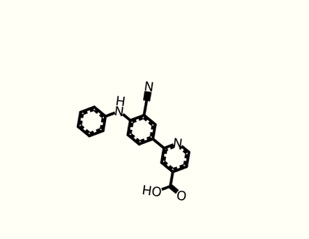 N#Cc1cc(-c2cc(C(=O)O)ccn2)ccc1Nc1ccccc1